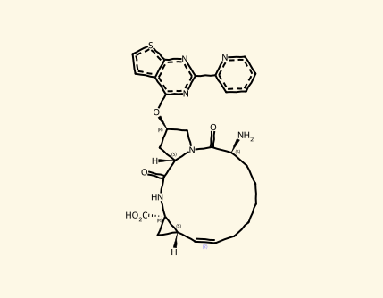 N[C@H]1CCCCC/C=C\[C@@H]2C[C@@]2(C(=O)O)NC(=O)[C@@H]2C[C@@H](Oc3nc(-c4ccccn4)nc4sccc34)CN2C1=O